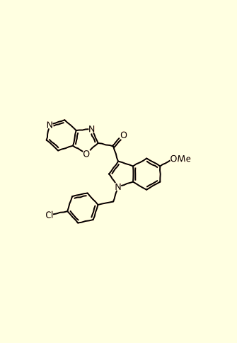 COc1ccc2c(c1)c(C(=O)c1nc3cnccc3o1)cn2Cc1ccc(Cl)cc1